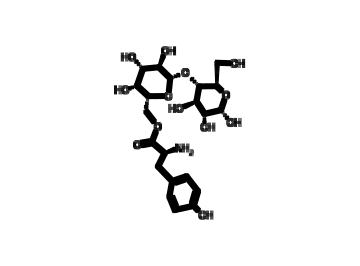 N[C@@H](Cc1ccc(O)cc1)C(=O)OC[C@H]1O[C@@H](O[C@H]2[C@H](O)[C@@H](O)[C@@H](O)O[C@@H]2CO)[C@H](O)[C@@H](O)[C@H]1O